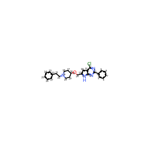 Clc1nc(-c2ccccc2)nc2[nH]c(COC3CCN(CCc4ccccc4)CC3)cc12